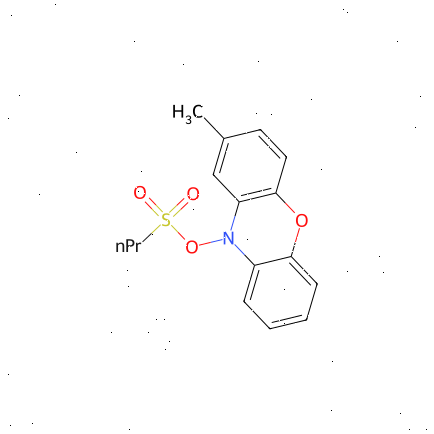 CCCS(=O)(=O)ON1c2ccccc2Oc2ccc(C)cc21